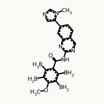 Bc1c(B)c(C(=O)Nc2ncc3ccc(-c4cncn4C)cc3n2)c(B)c(B)c1OC